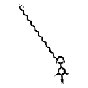 CCCCCCCCCCCCCCCCCCCCc1ccnc(-c2cc(F)c(C#N)c(F)c2)n1